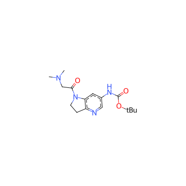 CN(C)CC(=O)N1CCc2ncc(NC(=O)OC(C)(C)C)cc21